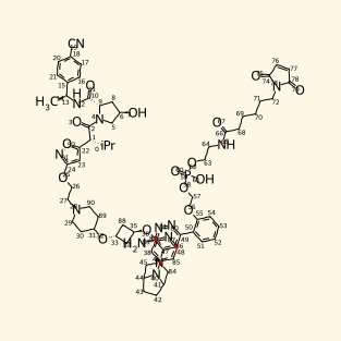 CC(C)[C@@H](C(=O)N1C[C@H](O)C[C@H]1C(=O)N[C@@H](C)c1ccc(C#N)cc1)c1cc(OCCN2CCC(O[C@H]3C[C@H](Oc4cc(N5C6CCC5CN(c5cc(-c7ccccc7OCOP(=O)(O)OCCNC(=O)CCCCCN7C(=O)C=CC7=O)nnc5N)C6)ccn4)C3)CC2)no1